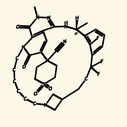 C[C@H]1Nc2nn(C)c(=O)c3c2cc(C2(C#N)CCS(=O)(=O)CC2)c(=O)n3CCCCCCN2CC(CCC(F)(F)c3cccc1c3F)C2